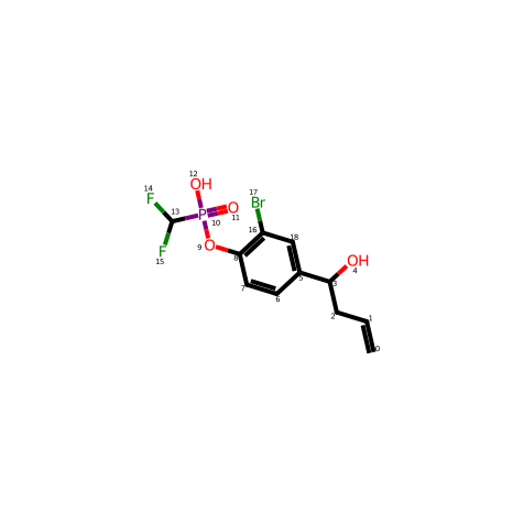 C=CCC(O)c1ccc(OP(=O)(O)C(F)F)c(Br)c1